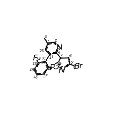 Cc1cnc(C2CC(Br)=NO2)c(-c2c(F)cccc2F)c1